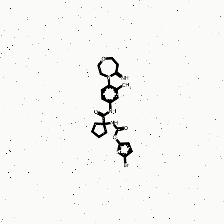 Cc1cc(NC(=O)C2(NC(=O)Oc3ccc(Br)s3)CCCC2)ccc1N1CCOCCC1=N